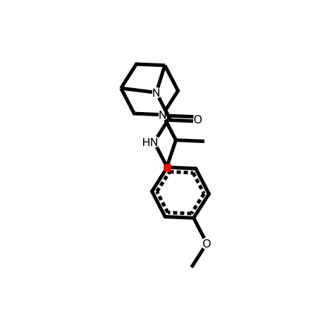 COc1ccc(NC(=O)N2C3CC2CN(C(C)C)C3)cc1